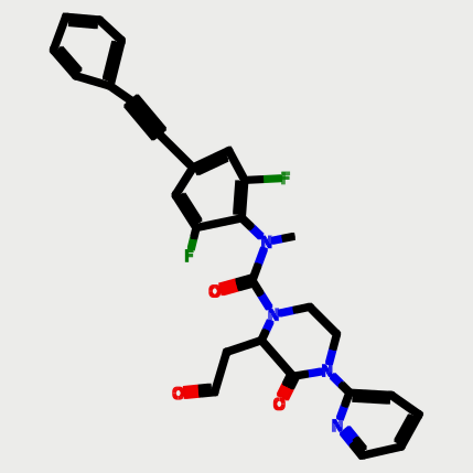 CN(C(=O)N1CCN(c2ccccn2)C(=O)C1CC=O)c1c(F)cc(C#Cc2ccccc2)cc1F